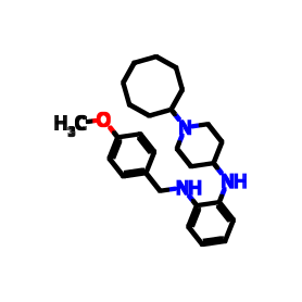 COc1ccc(CNc2ccccc2NC2CCN(C3CCCCCCC3)CC2)cc1